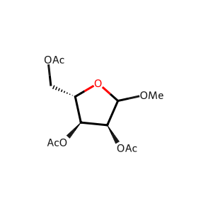 COC1O[C@@H](COC(C)=O)[C@H](OC(C)=O)[C@@H]1OC(C)=O